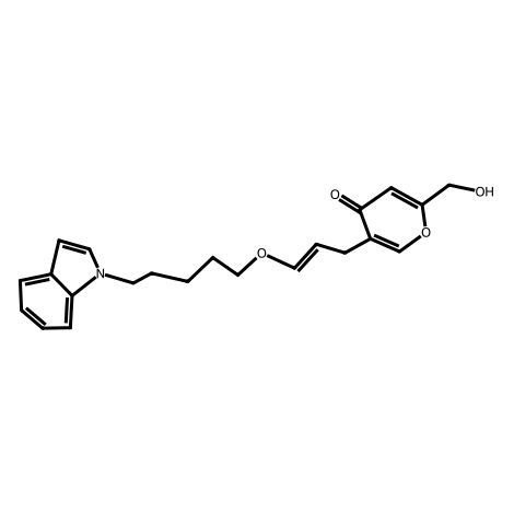 O=c1cc(CO)occ1C/C=C/OCCCCCn1ccc2ccccc21